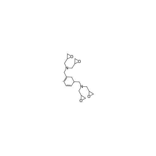 [C]1=C(CN(CC2CO2)CC2CO2)C[C](CN(CC2CO2)CC2CO2)C=C1